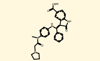 COC(=O)c1ccc2c(c1)C(=C(Nc1ccc(N(C)C(=O)CN3CCCC3)cc1)c1ccccc1)C(=O)N2